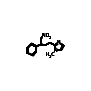 Cn1ccnc1CCC(C[N+](=O)[O-])c1ccccc1